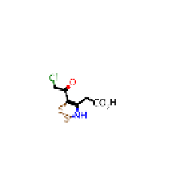 O=C(O)CC1=C(C(=O)CCl)SSN1